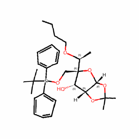 CCCCO[C@@H](C)[C@]1(CO[Si](c2ccccc2)(c2ccccc2)C(C)(C)C)O[C@@H]2OC(C)(C)O[C@@H]2[C@@H]1O